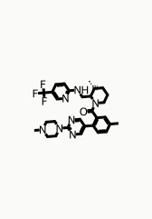 Cc1ccc(-c2cnc(N3CCN(C)CC3)nc2)c(C(=O)N2CCC[C@@H](C)C2CNc2ccc(C(F)(F)F)cn2)c1